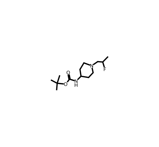 CC(F)CN1CCC(NC(=O)OC(C)(C)C)CC1